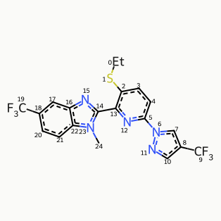 CCSc1ccc(-n2cc(C(F)(F)F)cn2)nc1-c1nc2cc(C(F)(F)F)ccc2n1C